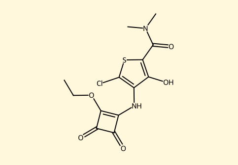 CCOc1c(Nc2c(Cl)sc(C(=O)N(C)C)c2O)c(=O)c1=O